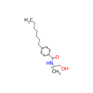 CCCCCCCc1ccc(C(=O)N[C@@H](C)CO)cc1